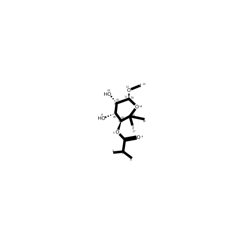 CC(C)C(=O)O[C@H]1[C@H](O)[C@H](O)[C@H](OI)OC1(C)I